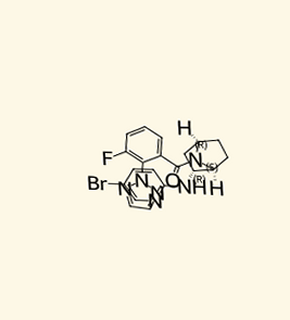 O=C(c1cccc(F)c1-n1nccn1)N1[C@@H]2CC[C@H]1[C@H](Nc1ccc(Br)cn1)C2